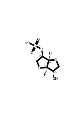 O=S(=O)(O)O[C@@H]1CO[C@H]2[C@@H]1OC[C@@H]2O